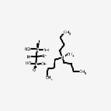 CCCC[N+](C)(CCCC)CCCC.O=P(O)(O)C(Br)(Br)P(=O)(O)O